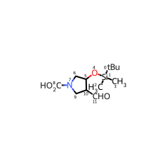 CC(C)(C)[Si](C)(C)OC1CN(C(=O)O)CC1C=O